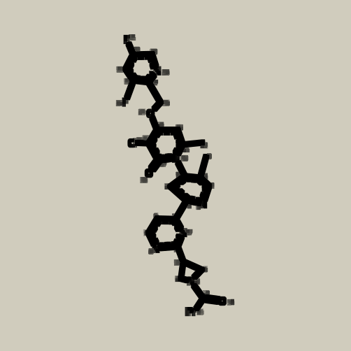 Cc1cnc(-c2ccnc(C3CN(C(=O)C(C)C)C3)n2)cc1-n1c(C)cc(OCc2ncc(F)cc2F)c(Cl)c1=O